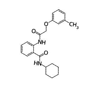 Cc1cccc(OCC(=O)Nc2ccccc2C(=O)NC2CCCCC2)c1